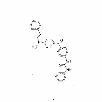 CN(CCc1ccccc1)C1CCN(C(=O)c2ccc(NC(=S)Nc3ccccc3)cc2)CC1